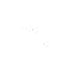 Nc1nc2cc(OCCCc3ccccc3)ccc2[nH]1